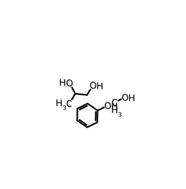 CC(O)CO.CO.Oc1ccccc1